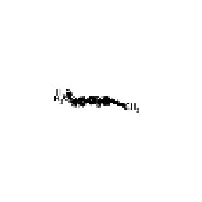 CCCCCCCc1ccc(C(=O)Oc2ccc(-c3ccc(C(=O)OCC(C)CC)cc3)cc2)cc1